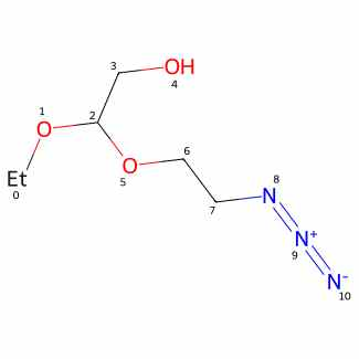 CCOC(CO)OCCN=[N+]=[N-]